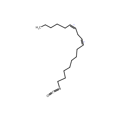 CCCCC/C=C\C/C=C\CCCCCCCN=C=O